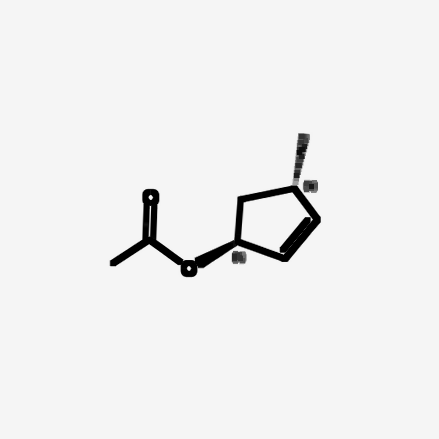 CC(=O)O[C@@H]1C=C[C@@H](C)C1